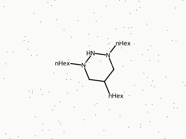 CCCCCCC1CN(CCCCCC)NN(CCCCCC)C1